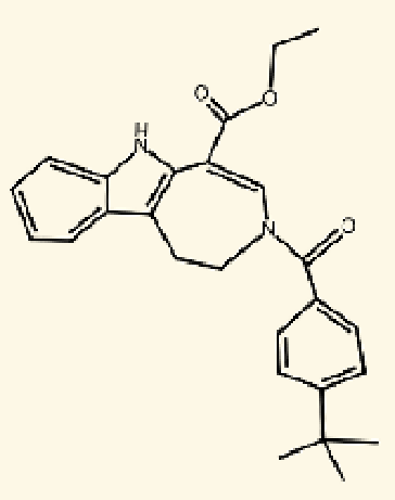 CCOC(=O)C1=CN(C(=O)c2ccc(C(C)(C)C)cc2)CCc2c1[nH]c1ccccc21